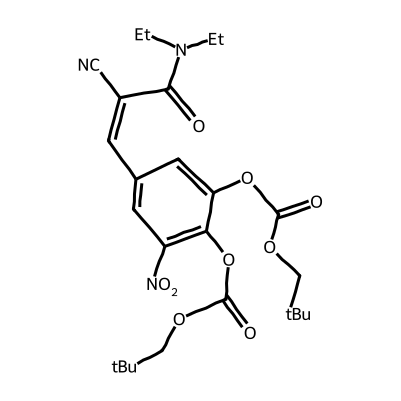 CCN(CC)C(=O)C(C#N)=Cc1cc(OC(=O)OCC(C)(C)C)c(OC(=O)OCC(C)(C)C)c([N+](=O)[O-])c1